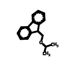 CC(C)OCC1c2ccccc2-c2ccccc21